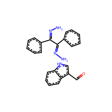 NN=C(C(=NN)c1ccccc1)c1ccccc1.O=Cc1c[nH]c2ccccc12